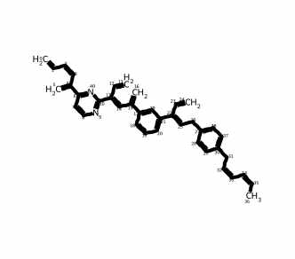 C=C/C=C\C(=C)c1ccnc(/C(C=C)=C/C(=C)c2cccc(/C(C=C)=C/Cc3ccc(C/C=C\C=C/C)cc3)c2)n1